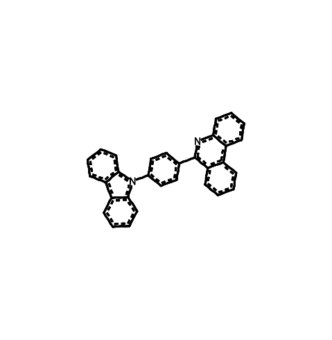 c1ccc2c(c1)nc(-c1ccc(-n3c4ccccc4c4ccccc43)cc1)c1ccccc12